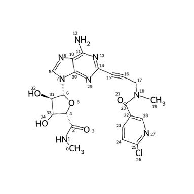 CNC(=O)[C@H]1O[C@@H](n2cnc3c(N)nc(C#CCN(C)C(=O)c4ccc(Cl)nc4)nc32)[C@H](O)C1O